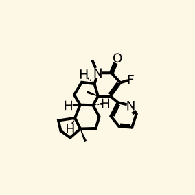 CN1C(=O)C(F)=C(c2ccccn2)[C@]2(C)[C@H]3CC[C@]4(C)CCC[C@H]4[C@@H]3CC[C@@H]12